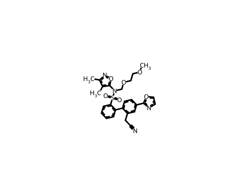 COCCOCN(c1onc(C)c1C)S(=O)(=O)c1ccccc1-c1ccc(-c2ncco2)cc1CC#N